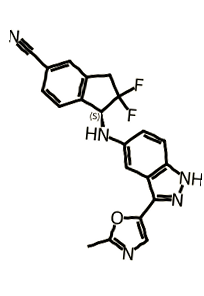 Cc1ncc(-c2n[nH]c3ccc(N[C@H]4c5ccc(C#N)cc5CC4(F)F)cc23)o1